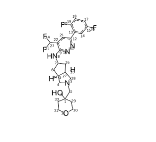 OC1(CN2C[C@H]3CC(Nc4nnc(-c5cc(F)ccc5F)cc4C(F)F)C[C@H]3C2)CCOCC1